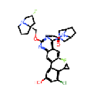 C=CC(=O)N1C2CCC1CN(c1nc(OC[C@@]34CCCN3C[C@H](F)C4)nc3cc(-c4cc(O)cc(Cl)c4C4CC4)c(F)cc13)C2